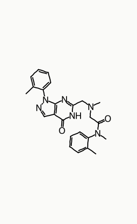 Cc1ccccc1N(C)C(=O)CN(C)Cc1nc2c(cnn2-c2ccccc2C)c(=O)[nH]1